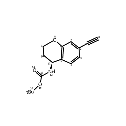 C#Cc1ccc2c(c1)OCC[C@@H]2NC(=O)OC(C)(C)C